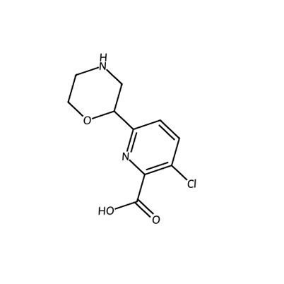 O=C(O)c1nc(C2CNCCO2)ccc1Cl